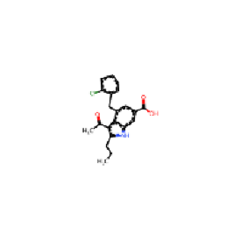 CCCc1[nH]c2cc(C(=O)O)cc(Cc3ccccc3Cl)c2c1C(C)=O